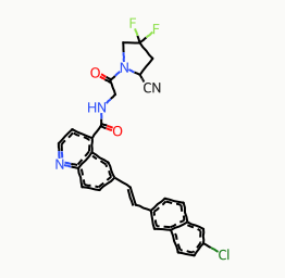 N#CC1CC(F)(F)CN1C(=O)CNC(=O)c1ccnc2ccc(/C=C/c3ccc4cc(Cl)ccc4c3)cc12